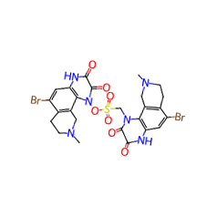 CN1CCc2c(Br)cc3[nH]c(=O)c(=O)n(CS(=O)(=O)On4c(=O)c(=O)[nH]c5cc(Br)c6c(c54)CN(C)CC6)c3c2C1